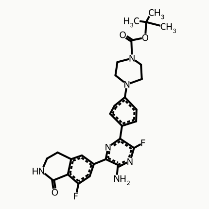 CC(C)(C)OC(=O)N1CCN(c2ccc(-c3nc(-c4cc(F)c5c(c4)CCNC5=O)c(N)nc3F)cc2)CC1